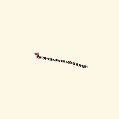 CC(C)(CCCS(=O)(=O)CCOCCOCCOCCOCCOCCOCCOCCOCCOCCOCCOCCOCCOCCOCCOCCOCCOCCOCCOCCOCCOCCOCCOCCOCCOCCOCCOCCOCCOCCO)NCl